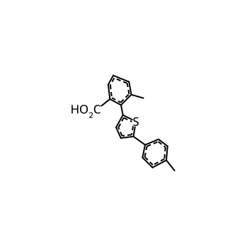 Cc1ccc(-c2ccc(-c3c(C)cccc3C(=O)O)s2)cc1